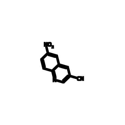 N#Cc1cnc2ccc([N+](=O)[O-])cc2c1